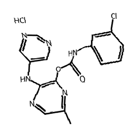 Cc1cnc(Nc2cncnc2)c(OC(=O)Nc2cccc(Cl)c2)n1.Cl